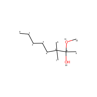 CCCCCC(C)(C)C(C)(O)OC